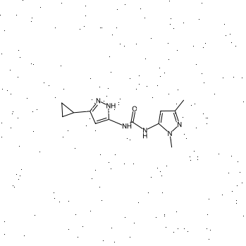 Cc1cc(NC(=O)Nc2cc(C3CC3)n[nH]2)n(C)n1